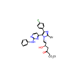 CCOC(=O)CC(=O)CC(O)/C=C/n1c(C(C)C)nc(-c2ccc(F)cc2)c1-c1ccnc(Nc2ccccc2)n1